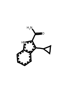 NC(=O)c1[nH]c2ccccc2c1C1CC1